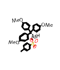 COc1ccc(C([AsH]OS(=O)(=O)c2ccc(C)cc2)(c2ccc(OC)cc2)c2ccc(OC)cc2)cc1